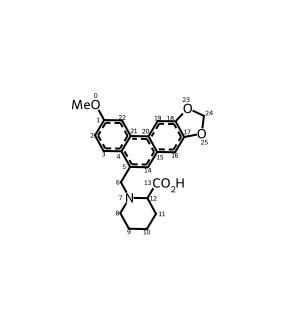 COc1ccc2c(CN3CCCCC3C(=O)O)cc3cc4c(cc3c2c1)OCO4